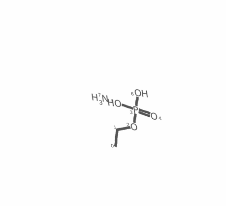 CCOP(=O)(O)O.N